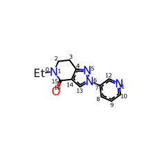 CCN1CCc2nn(-c3cccnc3)cc2C1=O